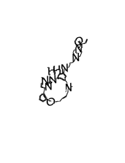 C=CC(=O)N1CCN(CCCNc2cc3cc(c2)Nc2nccc(n2)-c2cccc(c2)OCC/C=C/CN(C)C3)CC1